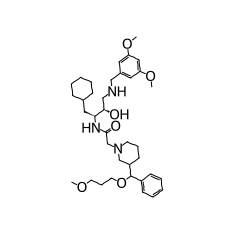 COCCCOC(c1ccccc1)C1CCCN(CC(=O)N[C@@H](CC2CCCCC2)[C@H](O)CNCc2cc(OC)cc(OC)c2)C1